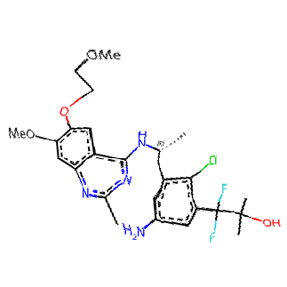 COCCOc1cc2c(N[C@H](C)c3cc(N)cc(C(F)(F)C(C)(C)O)c3Cl)nc(C)nc2cc1OC